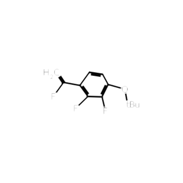 C=C(F)c1ccc(OC(C)(C)C)c(F)c1F